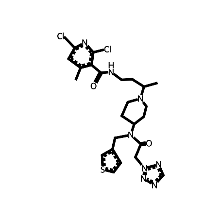 Cc1cc(Cl)nc(Cl)c1C(=O)NCCC(C)N1CCC(N(Cc2ccsc2)C(=O)Cn2ncnn2)CC1